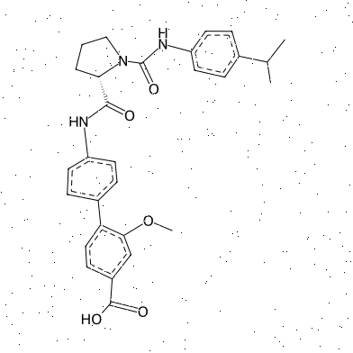 COc1cc(C(=O)O)ccc1-c1ccc(NC(=O)[C@@H]2CCCN2C(=O)Nc2ccc(C(C)C)cc2)cc1